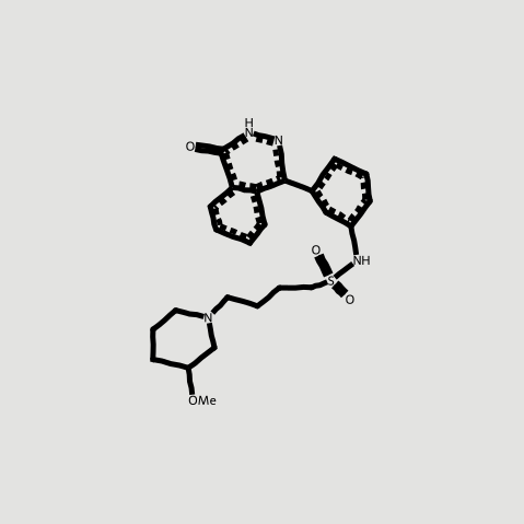 COC1CCCN(CCCCS(=O)(=O)Nc2cccc(-c3n[nH]c(=O)c4ccccc34)c2)C1